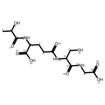 CC(O)C(=O)NC(CCC(=O)NC(CS)C(=O)NCC(=O)O)C(=O)O